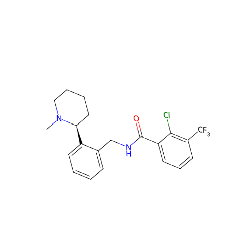 CN1CCCC[C@H]1c1ccccc1CNC(=O)c1cccc(C(F)(F)F)c1Cl